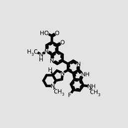 CNc1cc(F)cc2c1[nH]c1ncc(-c3cnc4c(c3)c(=O)c(C(=O)O)cn4NC)c(N3CC4[C@H](CCCN4C)C3)c12